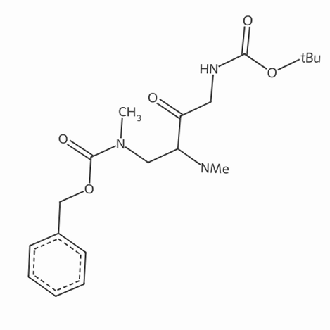 CNC(CN(C)C(=O)OCc1ccccc1)C(=O)CNC(=O)OC(C)(C)C